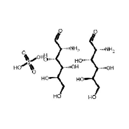 N[C@@H](C=O)[C@@H](O)[C@H](O)[C@H](O)CO.N[C@@H](C=O)[C@@H](O)[C@H](O)[C@H](O)CO.O=S(=O)(O)O